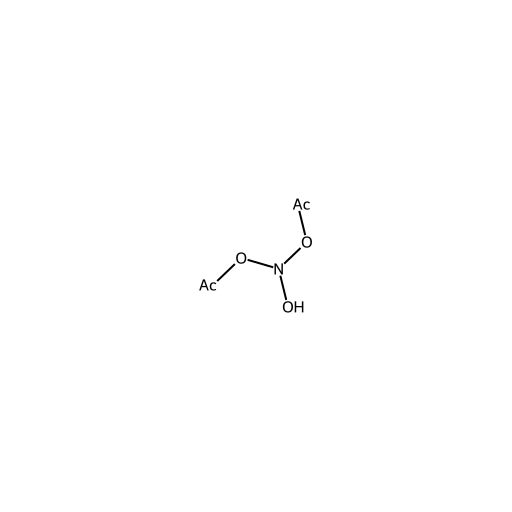 CC(=O)ON(O)OC(C)=O